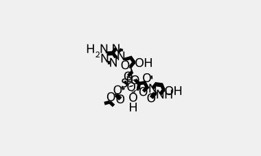 CO[C@H]1C(O[P@@](=O)(OC[C@H]2O[C@@H](n3cnc4c(N)ncnc43)CC2O)SCOC(=O)OC(C)C)[C@@H](CO)O[C@H]1N1C=CC(O)NC1=O